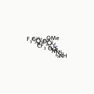 COc1cc(/C=C2/SC(N3CCNCC3)=NC2=O)ccc1OCc1ccc(C(F)(F)F)cc1C(F)(F)F